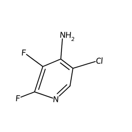 Nc1c(Cl)cnc(F)c1F